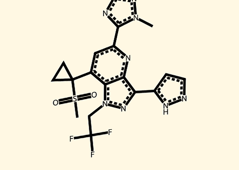 Cn1ncnc1-c1cc(C2(S(C)(=O)=O)CC2)c2c(n1)c(-c1ccn[nH]1)nn2CC(F)(F)F